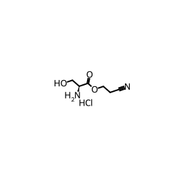 Cl.N#CCCOC(=O)[C@@H](N)CO